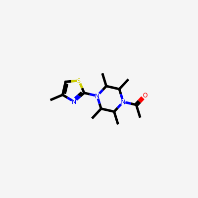 CC(=O)N1C(C)C(C)N(c2nc(C)cs2)C(C)C1C